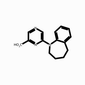 O=C(O)c1cncc(N2CCCCc3ccccc32)n1